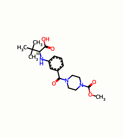 COC(=O)N1CCN(C(=O)c2cccc(N[C@H](C(=O)O)C(C)(C)C)c2)CC1